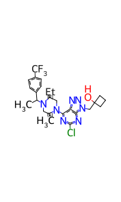 CC[C@@H]1CN(c2nc(Cl)nc3c2nnn3CC2(O)CCC2)[C@@H](C)CN1C(C)c1ccc(C(F)(F)F)cc1